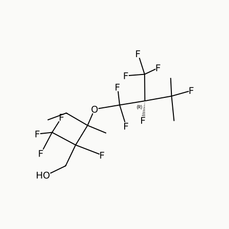 CCC(C)(OC(F)(F)[C@](F)(C(C)(C)F)C(F)(F)F)C(F)(CO)C(F)(F)F